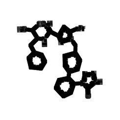 CCCc1cc(C(=O)NC(Cc2ccccc2)C(O)C(=O)O)nn1Cc1ccc(-c2ccccc2-n2nn[nH]c2=O)cc1